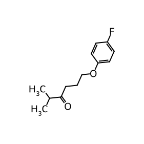 CC(C)C(=O)CCCOc1ccc(F)cc1